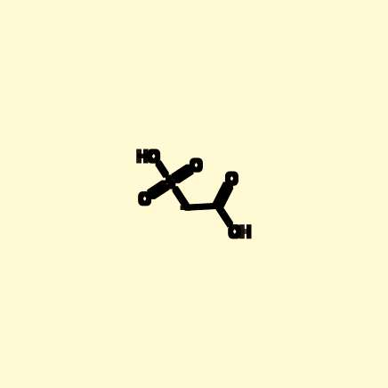 O=C(O)[CH]S(=O)(=O)O